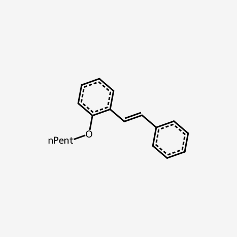 CCCCCOc1ccccc1C=Cc1ccccc1